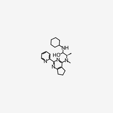 C[C@H](C(O)NC1CCCCC1)N(C)c1nc(-c2ccccn2)nc2c1CCC2